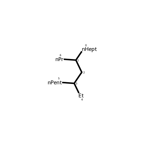 CCCCCCCC([CH]C(CC)CCCCC)CCC